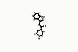 O=C(Cc1csc2ccccc12)N1CCNCC1